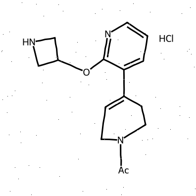 CC(=O)N1CC=C(c2cccnc2OC2CNC2)CC1.Cl